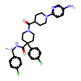 C[C@H](NC(=O)C1(c2ccc(F)cc2)CCN(C(=O)C2CCN(c3ccc(N)cn3)CC2)CC1)c1ccc(F)cc1